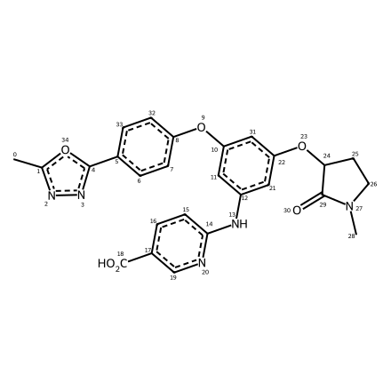 Cc1nnc(-c2ccc(Oc3cc(Nc4ccc(C(=O)O)cn4)cc(OC4CCN(C)C4=O)c3)cc2)o1